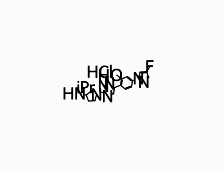 CC(C)NC1CCN(c2ncc(-c3ccc(-n4cc(F)cn4)cc3O)nn2)C1.Cl